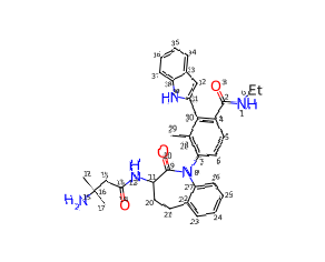 CCNC(=O)c1ccc(N2C(=O)C(NC(=O)CC(C)(C)N)CCc3ccccc32)c(C)c1-c1cc2ccccc2[nH]1